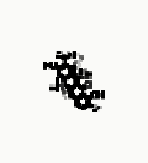 C[C@H]1c2ccc(Br)c(O)c2C(=O)C2=C(O)[C@]3(O)C(=O)C(C(N)=O)=C(O)C[C@@H]3[C@@H](O)[C@@H]21